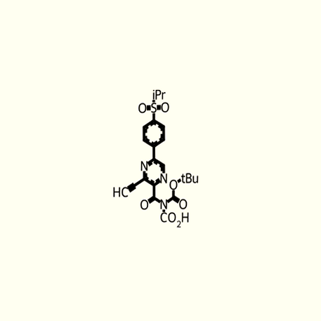 C#Cc1nc(-c2ccc(S(=O)(=O)C(C)C)cc2)cnc1C(=O)N(C(=O)O)C(=O)OC(C)(C)C